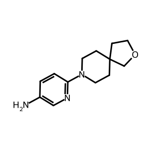 Nc1ccc(N2CCC3(CCOC3)CC2)nc1